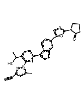 Cc1cc(C#N)nn1-c1nc(-n2cnc3cc(-c4cnc(N5CCCC5=O)o4)ccc32)ccc1C(C)O